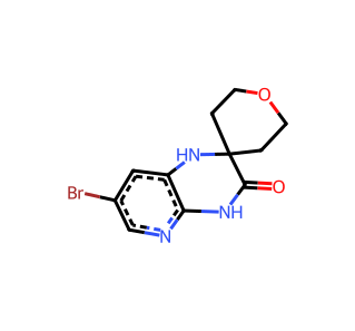 O=C1Nc2ncc(Br)cc2NC12CCOCC2